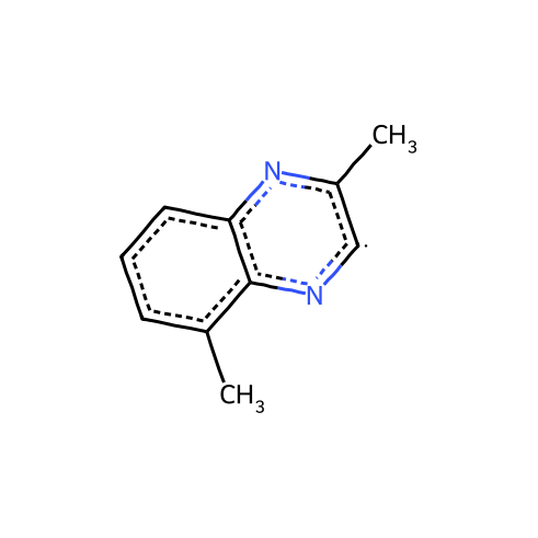 Cc1[c]nc2c(C)cccc2n1